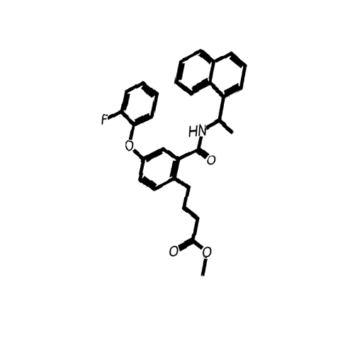 COC(=O)CCCc1ccc(Oc2ccccc2F)cc1C(=O)NC(C)c1cccc2ccccc12